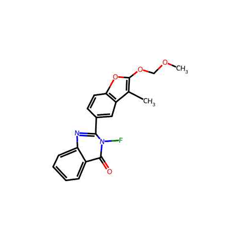 COCOc1oc2ccc(-c3nc4ccccc4c(=O)n3F)cc2c1C